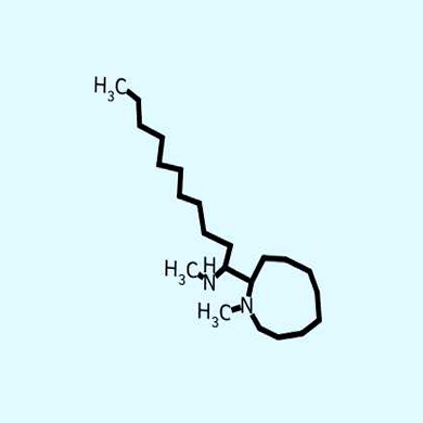 CCCCCCCCCCC(NC)C1CCCCCCCCN1C